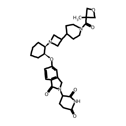 CC1(C(=O)N2CCC(C3CN([C@@H]4CCCC[C@@H]4Oc4ccc5c(c4)CN(C4CCC(=O)NC4=O)C5=O)C3)CC2)COC1